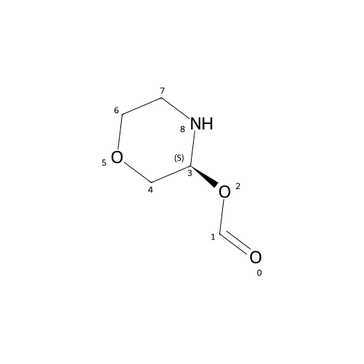 O=CO[C@H]1COCCN1